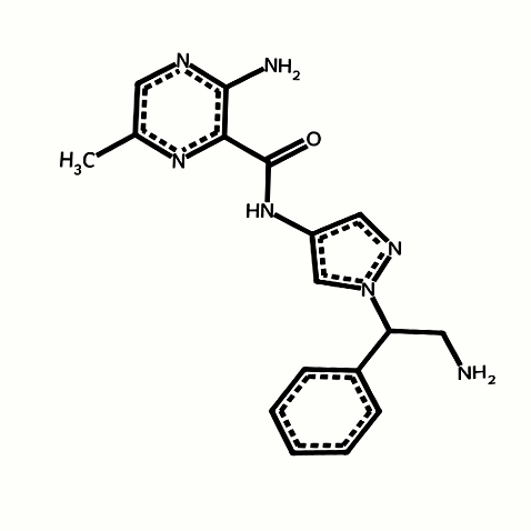 Cc1cnc(N)c(C(=O)Nc2cnn(C(CN)c3ccccc3)c2)n1